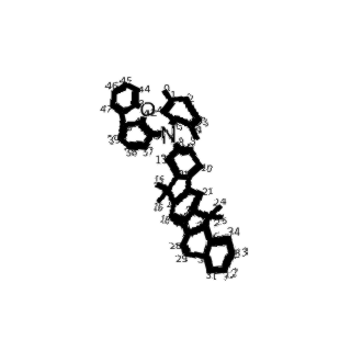 Cc1ccc(C)c(N(c2ccc3c(c2)C(C)(C)c2cc4c(cc2-3)C(C)(C)c2c-4ccc3ccccc23)c2cccc3c2oc2ccccc23)c1